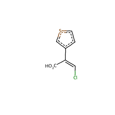 O=C(O)C(=CCl)c1ccsc1